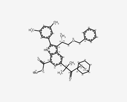 Cc1cc(C)cc(-c2[nH]c3c(C(=O)OC(C)(C)C)nc(C(C)(C)C(=O)N4CC5CCC4CC5)cc3c2[C@H](C)COCc2ccccc2)c1